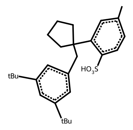 Cc1ccc(S(=O)(=O)O)c(C2(Cc3cc(C(C)(C)C)cc(C(C)(C)C)c3)CCCC2)c1